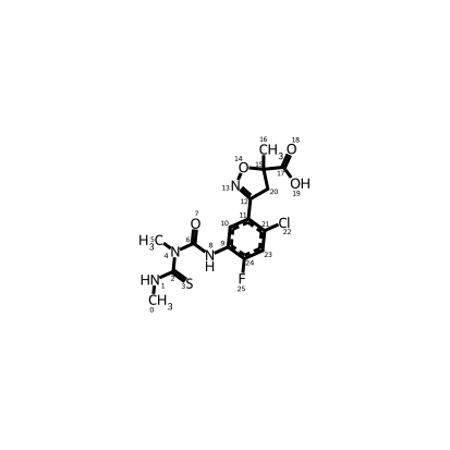 CNC(=S)N(C)C(=O)Nc1cc(C2=NOC(C)(C(=O)O)C2)c(Cl)cc1F